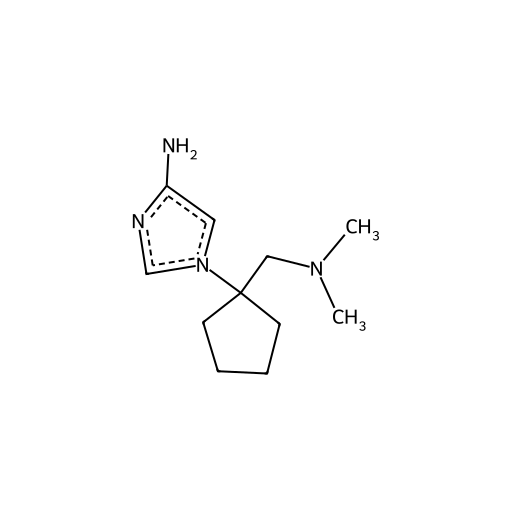 CN(C)CC1(n2cnc(N)c2)CCCC1